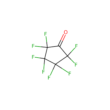 O=C1C(F)(F)C(F)(F)C(F)(F)C1(F)F